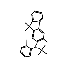 Cc1ccccc1N(c1cc2c(cc1C)-c1ccccc1C2(C)C)C(C)(C)C